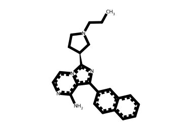 CCCN1CC[C@H](c2nc(-c3ccc4ccccc4c3)c3c(N)nccn23)C1